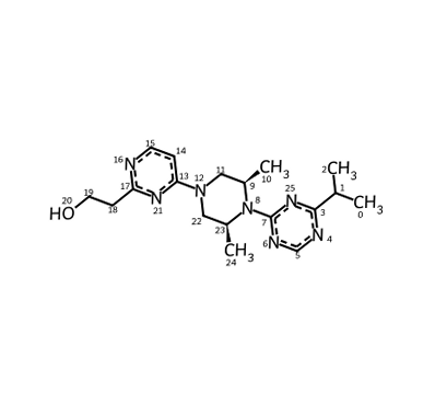 CC(C)c1ncnc(N2[C@H](C)CN(c3ccnc(CCO)n3)C[C@@H]2C)n1